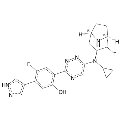 Oc1cc(-c2cn[nH]c2)c(F)cc1-c1ncc(N(C2CC2)C2C[C@H]3CC[C@H](N3)C2F)nn1